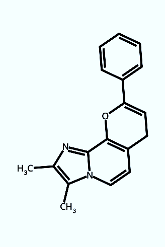 Cc1nc2c3c(ccn2c1C)CC=C(c1ccccc1)O3